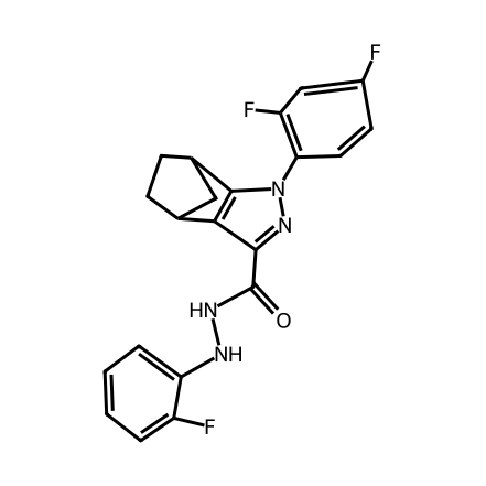 O=C(NNc1ccccc1F)c1nn(-c2ccc(F)cc2F)c2c1C1CCC2C1